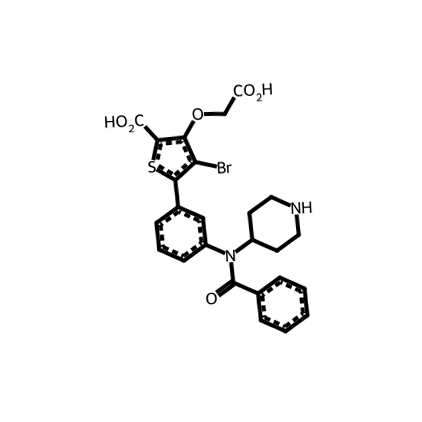 O=C(O)COc1c(C(=O)O)sc(-c2cccc(N(C(=O)c3ccccc3)C3CCNCC3)c2)c1Br